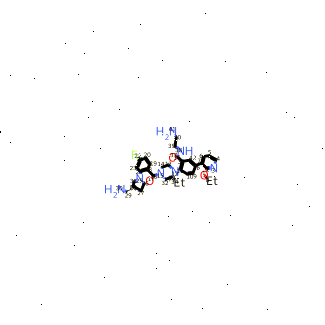 CCOc1ncccc1-c1ccc(N2CCN(C(=O)c3ccc(F)cc3N3CC[C@H](CN)C3)C[C@H]2CC)c(C(=O)NCCN)c1